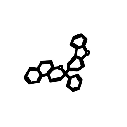 C1=CC(c2ccccc2)(c2ccc3oc4ccccc4c3c2)Oc2ccc3ccccc3c21